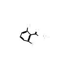 COC(=O)c1c(F)cccc1S